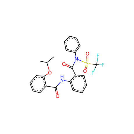 CC(C)Oc1ccccc1C(=O)Nc1ccccc1C(=O)N(c1ccccc1)S(=O)(=O)C(F)(F)F